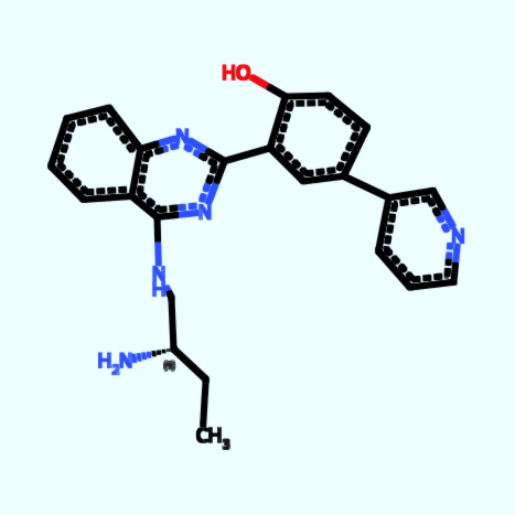 CC[C@H](N)CNc1nc(-c2cc(-c3cccnc3)ccc2O)nc2ccccc12